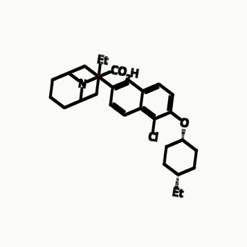 CCC(c1ccc2c(Cl)c(O[C@H]3CC[C@@H](CC)CC3)ccc2c1)N1C2CCCC1CC(C(=O)O)C2